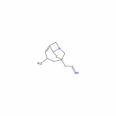 CC1C=C2CN3CC(CC=N)(C1)CC23